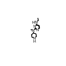 CCNc1ccnc(N(C)C2CCNCC2)n1